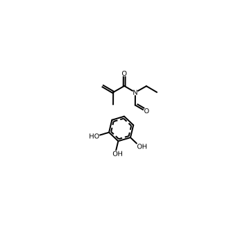 C=C(C)C(=O)N(C=O)CC.Oc1cccc(O)c1O